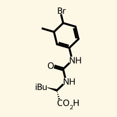 CC[C@H](C)[C@H](NC(=O)NC1=CC(C)C(Br)C=C1)C(=O)O